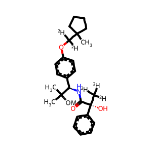 [2H]C([2H])(Oc1ccc([C@@H](NC(=O)[C@](O)(c2ccccc2)C([2H])([2H])[2H])C(C)(C)OC)cc1)C1(C)CCCC1